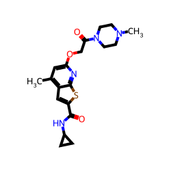 Cc1cc(OCC(=O)N2CCN(C)CC2)nc2sc(C(=O)NC3CC3)cc12